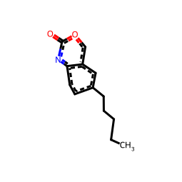 CCCCCc1ccc2nc(=O)occ2c1